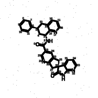 O=C(N[C@@H]1C[C@@H](c2ccccc2)Cc2cccnc21)c1cnc2c(c1)C[C@@]1(C2)C(=O)Nc2ncccc21